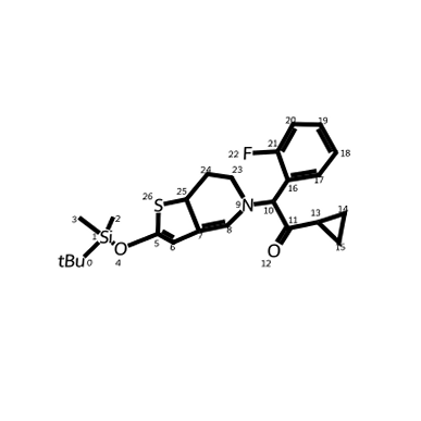 CC(C)(C)[Si](C)(C)OC1=CC2=CN(C(C(=O)C3CC3)c3ccccc3F)CCC2S1